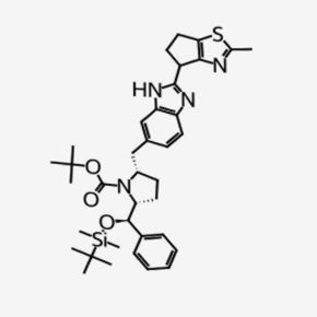 Cc1nc2c(s1)CCC2c1nc2ccc(C[C@@H]3CC[C@H]([C@H](O[Si](C)(C)C(C)(C)C)c4ccccc4)N3C(=O)OC(C)(C)C)cc2[nH]1